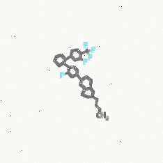 C=CCCc1ccc2cc(-c3ccc(-c4ccccc4-c4ccc(C(F)(F)F)c(F)c4)c(F)c3)ccc2c1